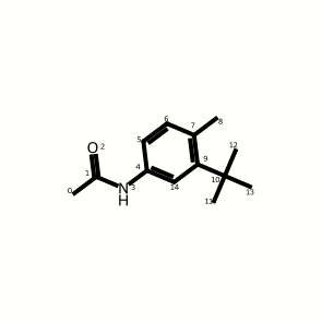 CC(=O)Nc1ccc(C)c(C(C)(C)C)c1